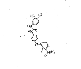 Cc1c(Oc2ccc(NC(=O)Nc3ccc(Cl)c(C(F)(F)F)c3)cc2)ccnc1C(N)=O